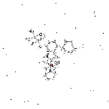 CC(C)(O)C(F)(F)Oc1ccc(-c2ccc(F)cn2)c2oc(N3CC4CCC(C3)N4C(=O)O)nc12